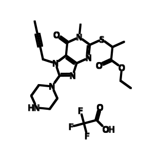 CC#CCn1c(N2CCNCC2)nc2nc(SC(C)C(=O)OCC)n(C)c(=O)c21.O=C(O)C(F)(F)F